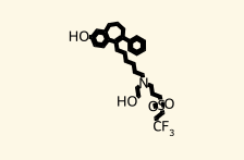 O=S(=O)(CCCN(CCO)CCCCCCC1=C(c2ccccc2)CCCc2cc(O)ccc21)CCC(F)(F)F